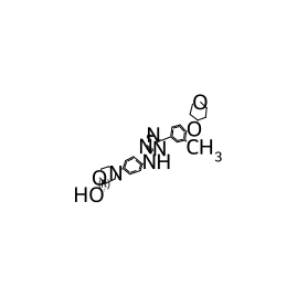 Cc1cc(-c2ncnc(Nc3ccc(N4CCO[C@@H](CO)C4)cc3)n2)ccc1OC1CCOCC1